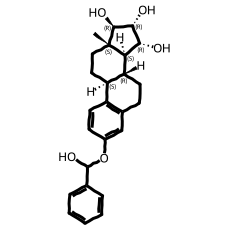 C[C@]12CC[C@@H]3c4ccc(OC(O)c5ccccc5)cc4CC[C@H]3[C@@H]1[C@@H](O)[C@@H](O)[C@@H]2O